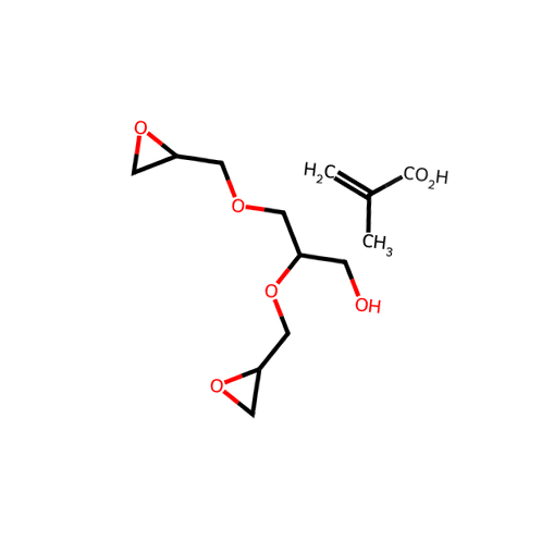 C=C(C)C(=O)O.OCC(COCC1CO1)OCC1CO1